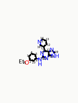 CCOc1cccc(Nc2nc(-c3cccnc3)c3nc[nH]c3n2)c1